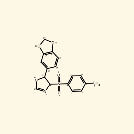 Cc1ccc(S(=O)(=O)C2N=COC2c2ccc3c(c2)OCO3)cc1